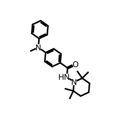 CN(c1ccccc1)c1ccc(C(=O)NN2C(C)(C)CCCC2(C)C)cc1